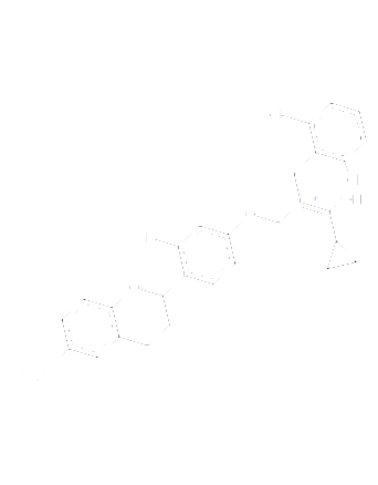 O=C(O)c1ccc2c(c1)CCC(c1ccc(OC/C(Cc3c(Cl)cccc3Cl)=C(/O)C3CC3)cc1F)O2